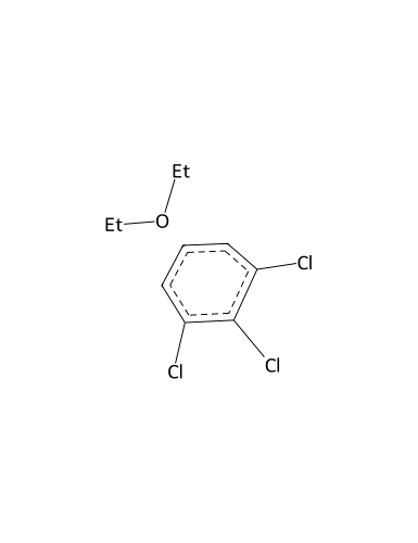 CCOCC.Clc1cccc(Cl)c1Cl